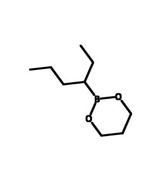 CCCC(CC)B1OCCCO1